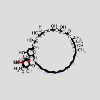 C[C@@H]1[C@H](O)[C@@H](C)/C=C/C=C/C=C/C=C/C=C/C=C/C=C/[C@H](O[C@@H]2O[C@H](C)[C@@H](O)[C@H](N)[C@@H]2O)C[C@@H]2O[C@](O)(C[C@@H](O)C[C@@H](O)[C@H](O)CC[C@@H](O)C[C@@H](O)CC(=O)O[C@H]1C)C[C@H](O)[C@H]2C(=O)N[C@H](CO)C(C)(C)C